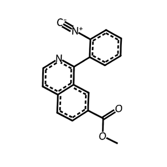 [C-]#[N+]c1ccccc1-c1nccc2ccc(C(=O)OC)cc12